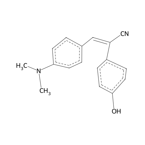 CN(C)c1ccc(C=C(C#N)c2ccc(O)cc2)cc1